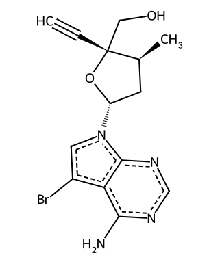 C#C[C@]1(CO)O[C@@H](n2cc(Br)c3c(N)ncnc32)C[C@@H]1C